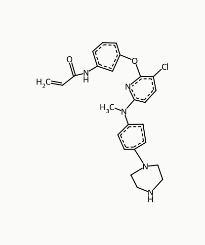 C=CC(=O)Nc1cccc(Oc2nc(N(C)c3ccc(N4CCNCC4)cc3)ccc2Cl)c1